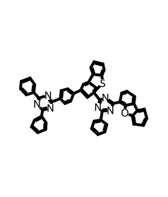 c1ccc(-c2nc(-c3ccccc3)nc(-c3ccc(-c4cc(-c5nc(-c6ccccc6)nc(-c6cccc7c6oc6ccccc67)n5)c5sc6ccccc6c5c4)cc3)n2)cc1